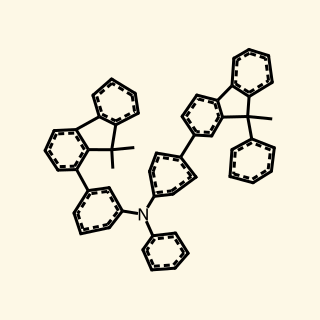 CC1(C)c2ccccc2-c2cccc(-c3cccc(N(c4ccccc4)c4ccc(-c5ccc6c(c5)C(C)(c5ccccc5)c5ccccc5-6)cc4)c3)c21